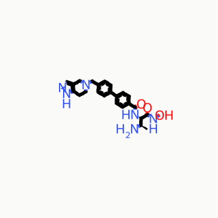 C[C@@H](N)[C@H](NC(=O)c1ccc(-c2ccc(CN3CCc4[nH]ncc4C3)cc2)cc1)C(=O)NO